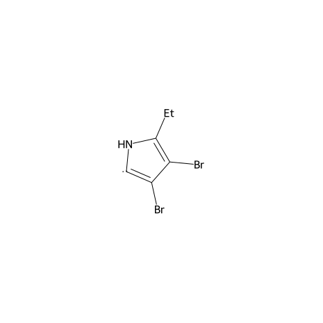 CCc1[nH][c]c(Br)c1Br